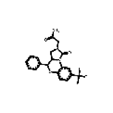 NC(=O)CN1CC2C(c3ccccc3)Oc3ccc(C(F)(F)F)cc3N2C1=O